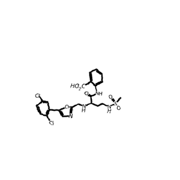 CS(=O)(=O)NCCC(NCc1ncc(-c2cc(Cl)ccc2Cl)o1)C(=O)Nc1ccccc1C(=O)O